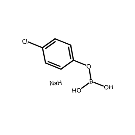 OB(O)Oc1ccc(Cl)cc1.[NaH]